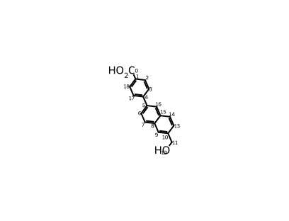 O=C(O)c1ccc(-c2ccc3cc(CO)ccc3c2)cc1